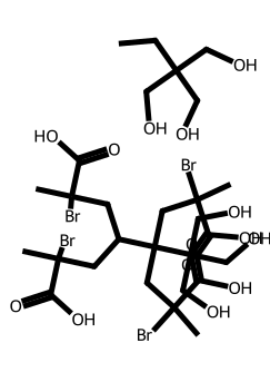 CC(Br)(CC(CC(C)(Br)C(=O)O)C(CC(C)(Br)C(=O)O)(CC(C)(Br)C(=O)O)C(CO)(CO)CO)C(=O)O.CCC(CO)(CO)CO